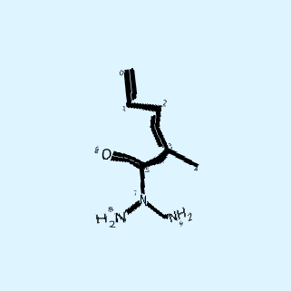 C=C/C=C(/C)C(=O)N(N)N